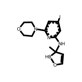 CC1(Nc2cc(I)cc(N3CCOCC3)n2)BOC=C1